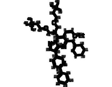 CCO/C=C\c1c(CC2CCCCC2)nc2c(-c3ccc(-c4ccccc4)nc3)cnn2c1N(COCC[Si](C)(C)C)COCC[Si](C)(C)C